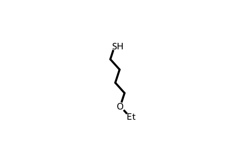 CCOCCCCS